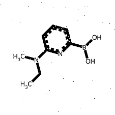 CCN(C)c1cccc(B(O)O)n1